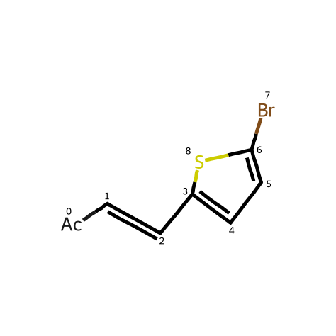 CC(=O)C=Cc1ccc(Br)s1